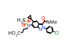 CNC(=O)c1c2cc(C3CC3)c(N(CCCC(=O)O)S(C)(=O)=O)cc2nn1-c1ccc(Cl)cc1